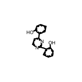 Oc1ccccc1-c1ccnc(-c2ccccc2O)n1